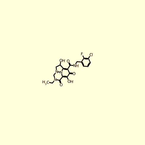 CCN1CN2CC(O)c3c(C(=O)NCc4cccc(Cl)c4F)c(=O)c(O)c(n32)C1=O